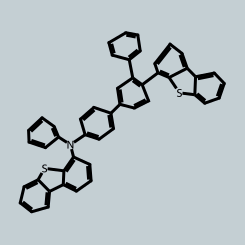 c1ccc(-c2cc(-c3ccc(N(c4ccccc4)c4cccc5c4sc4ccccc45)cc3)ccc2-c2cccc3c2sc2ccccc23)cc1